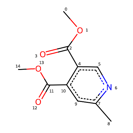 COC(=O)c1cnc(C)cc1C(=O)OC